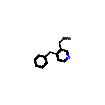 COCc1cnccc1Cc1ccccc1